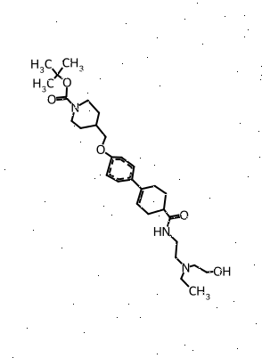 CCN(CCO)CCNC(=O)C1CC=C(c2ccc(OCC3CCN(C(=O)OC(C)(C)C)CC3)cc2)CC1